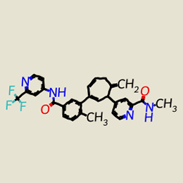 C=C1CC=CC(c2cc(C(=O)Nc3ccnc(C(F)(F)F)c3)ccc2C)=CC1c1ccnc(C(=O)NC)c1